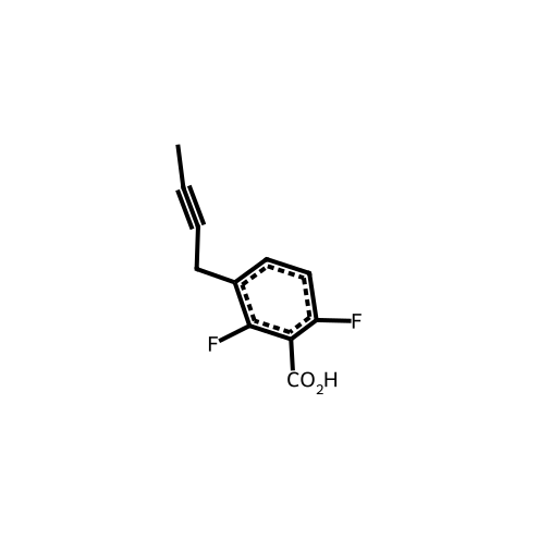 CC#CCc1ccc(F)c(C(=O)O)c1F